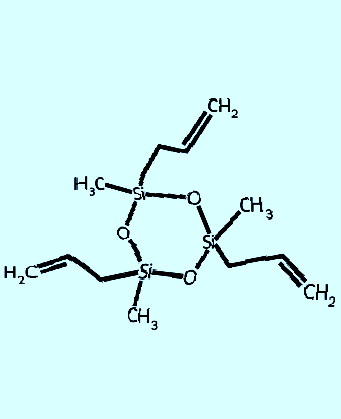 C=CC[Si]1(C)O[Si](C)(CC=C)O[Si](C)(CC=C)O1